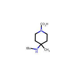 CC(C)(C)NC1(C)CCN(C(=O)O)CC1